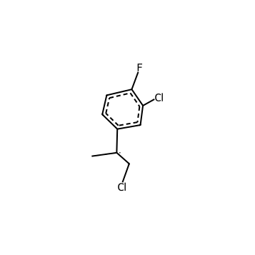 C[C](CCl)c1ccc(F)c(Cl)c1